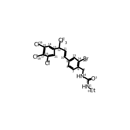 CCNC(=O)NCc1ccc(/C=C/C(c2cc(Cl)c(Cl)c(Cl)c2)C(F)(F)F)cc1Br